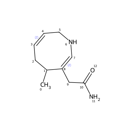 CC1C/C=C\CN/C=C\1CC(N)=O